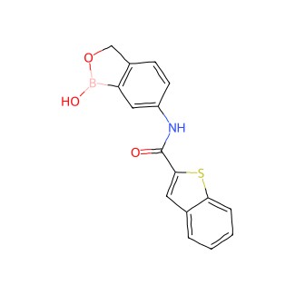 O=C(Nc1ccc2c(c1)B(O)OC2)c1cc2ccccc2s1